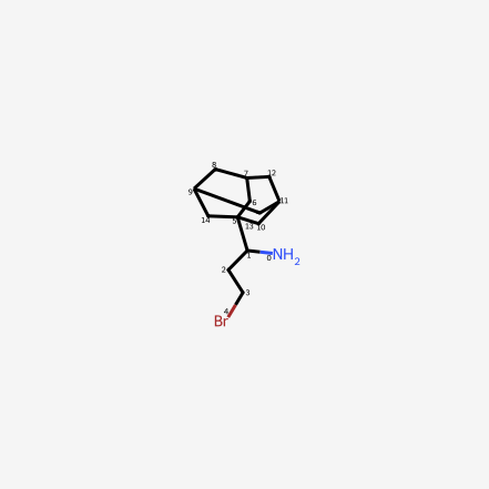 NC(CCBr)C12CC3CC(CC(C3)C1)C2